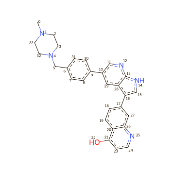 CN1CCN(Cc2ccc(-c3cnc4[nH]cc(-c5ccc6c(O)ccnc6c5)c4c3)cc2)CC1